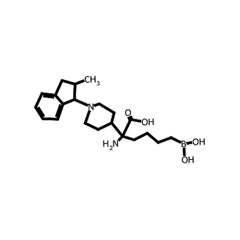 CC1Cc2ccccc2C1N1CCC(C(N)(CCCCB(O)O)C(=O)O)CC1